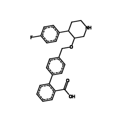 O=C(O)c1ccccc1-c1ccc(COC2CNCCC2c2ccc(F)cc2)cc1